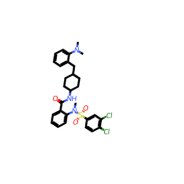 CN(C)c1ccccc1CC1CCC(NC(=O)c2ccccc2N(C)S(=O)(=O)c2ccc(Cl)c(Cl)c2)CC1